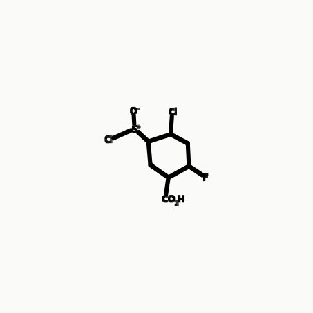 O=C(O)C1CC([S+]([O-])Cl)C(Cl)CC1F